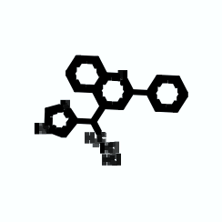 CC(c1c[nH]cn1)c1cc(-c2ccccc2)nc2ccccc12.Cl.Cl